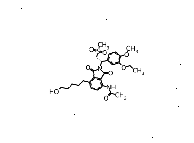 CCOc1cc([C@@H](CS(C)(=O)=O)N2C(=O)c3c(CCCCCO)ccc(NC(C)=O)c3C2=O)ccc1OC